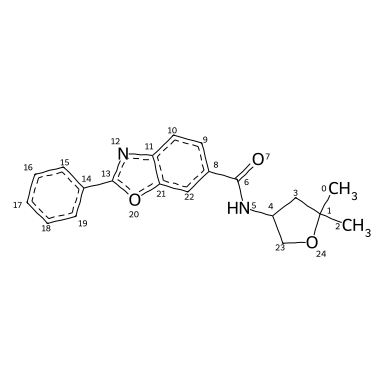 CC1(C)CC(NC(=O)c2ccc3nc(-c4ccccc4)oc3c2)CO1